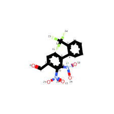 O=Cc1ccc(-c2ccccc2C(F)(F)F)c([N+](=O)[O-])c1[N+](=O)[O-]